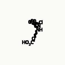 CS(=O)(=O)Cc1cc(Cl)nc(NCCCCOCC(=O)O)c1